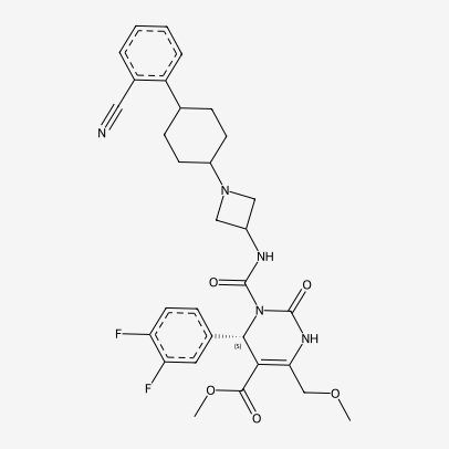 COCC1=C(C(=O)OC)[C@H](c2ccc(F)c(F)c2)N(C(=O)NC2CN(C3CCC(c4ccccc4C#N)CC3)C2)C(=O)N1